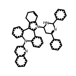 C1=Cc2c(c3c(n2C2CC(c4ccccc4)=NC(c4ccccc4)N2)-c2ccccc2N(c2ccc4ccccc4n2)c2ccccc2-3)CC1